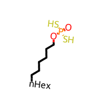 CCCCCCCCCCCCOP(=O)(S)S